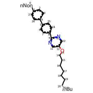 CCCCCCCCCc1ccc(-c2ccc(-c3ncc(OCCCCCCC[C@@H](C)CC)cn3)cc2)cc1